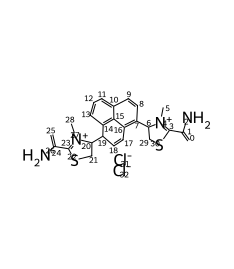 C=C(N)C1=[N+](C)C(c2ccc3cccc4c3c2C=CC4C2CSC(C(=C)N)=[N+]2C)CS1.[Cl-].[Cl-]